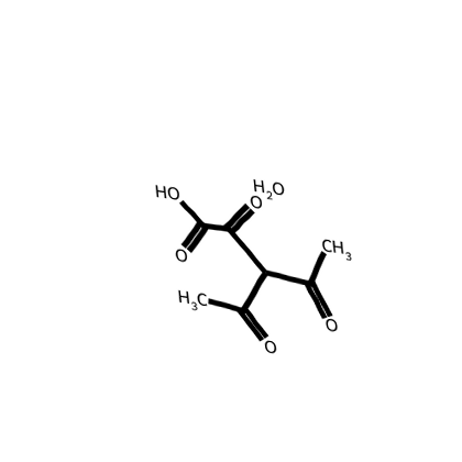 CC(=O)C(C(C)=O)C(=O)C(=O)O.O